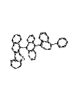 c1ccc(-c2ccc(-c3c4ccccc4c(-c4c5ccccc5cc5c4sc4ccccc45)c4ccccc34)c3ccccc23)cc1